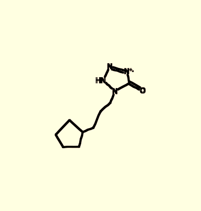 O=C1[N+]=NNN1CCCC1CCCC1